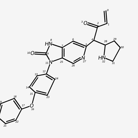 C=CC(=O)C(c1cc2[nH]c(=O)n(-c3ccc(Oc4ccccc4)cc3)c2cn1)C1CCCN1